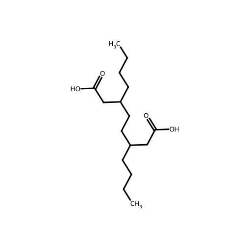 CCCCC(CCC(CCCC)CC(=O)O)CC(=O)O